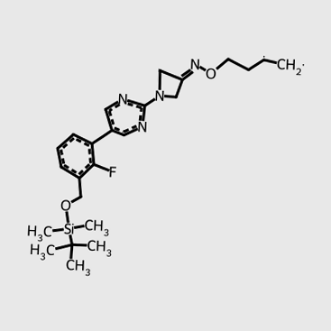 [CH2][CH]CCON=C1CN(c2ncc(-c3cccc(CO[Si](C)(C)C(C)(C)C)c3F)cn2)C1